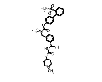 CN1CCC(OC(=O)NC(=N)c2cccc(CN(C)C(=O)Oc3ccc(-c4ccccc4S(N)(=O)=O)cc3)c2)CC1